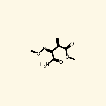 C=C(C(=O)OC)C(=NOC)C(N)=O